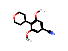 COc1cc(C#N)cc(OC)c1C1CCOCC1